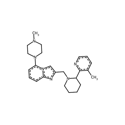 Cc1cccnc1C1CCCCN1Cc1cn2c(N3CCN(C)CC3)cccc2n1